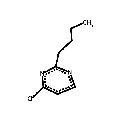 CCCCc1nccc(Cl)n1